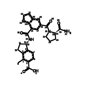 Cc1c(C(=O)O)ccc2c1CC[C@@H]2NC(=O)c1cc(C(=O)N2CCC[C@H]2C(N)=O)nc2ccnn12